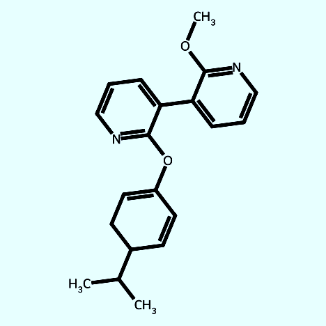 COc1ncccc1-c1cccnc1OC1=CCC(C(C)C)C=C1